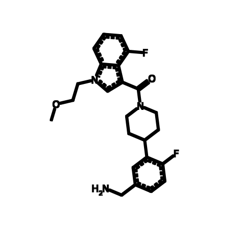 COCCn1cc(C(=O)N2CCC(c3cc(CN)ccc3F)CC2)c2c(F)cccc21